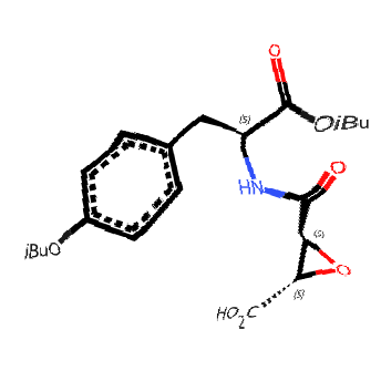 CC(C)COC(=O)[C@H](Cc1ccc(OCC(C)C)cc1)NC(=O)[C@H]1O[C@@H]1C(=O)O